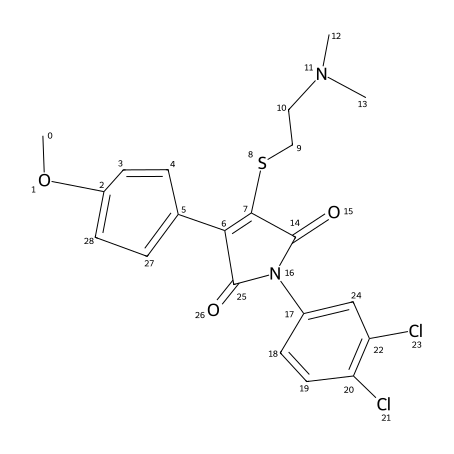 COc1ccc(C2=C(SCCN(C)C)C(=O)N(c3ccc(Cl)c(Cl)c3)C2=O)cc1